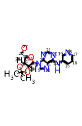 CC1(C)O[C@@H]2[C@@H](O1)[C@H](n1cnc3c(Nc4cccnc4)ncnc31)O[C@H]2C=O